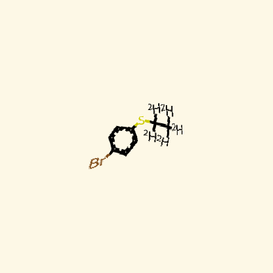 [2H]C([2H])([2H])C([2H])([2H])Sc1ccc(Br)cc1